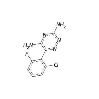 Nc1nnc(-c2c(F)cccc2Cl)c(N)n1